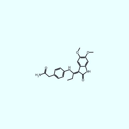 CCC(Nc1ccc(CC(N)=O)cc1)=C1C(=O)Nc2cc(OC)c(OC)cc21